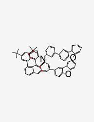 CC(C)(C)c1cc(-c2cccc3cccc(-c4ccccc4N(c4cccc(-c5ccc6oc7ccccc7c6c5)c4)c4cccc(-c5ccc6oc7ccccc7c6c5)c4)c23)cc(C(C)(C)C)c1